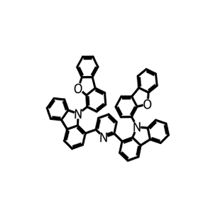 c1cc(-c2cccc3c4ccccc4n(-c4cccc5c4oc4ccccc45)c23)nc(-c2cccc3c4ccccc4n(-c4cccc5c4oc4ccccc45)c23)c1